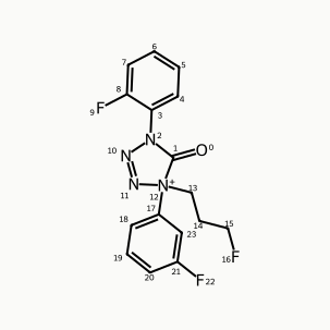 O=C1N(c2ccccc2F)N=N[N+]1(CCCF)c1cccc(F)c1